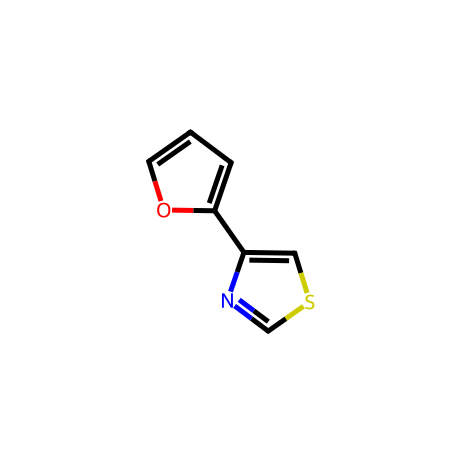 c1coc(-c2cscn2)c1